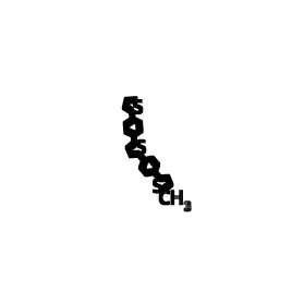 Cc1ccc(-c2ccc(-c3ccc(-c4ccc(-c5cccs5)cc4)s3)cc2)s1